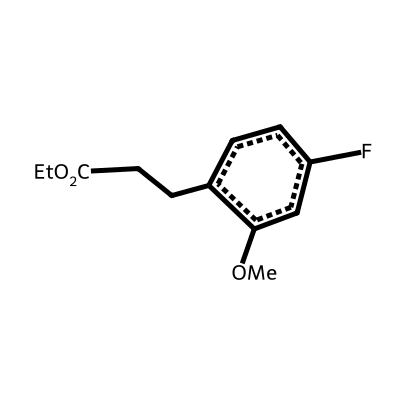 CCOC(=O)CCc1ccc(F)cc1OC